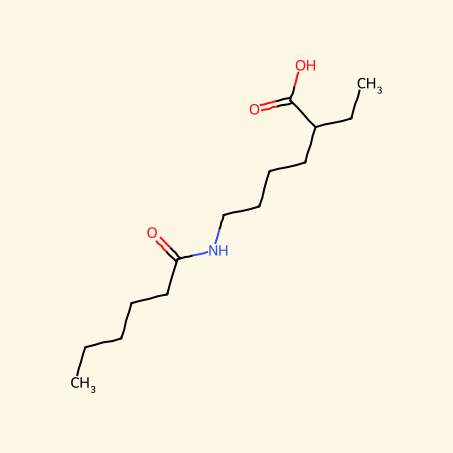 CCCCCC(=O)NCCCCC(CC)C(=O)O